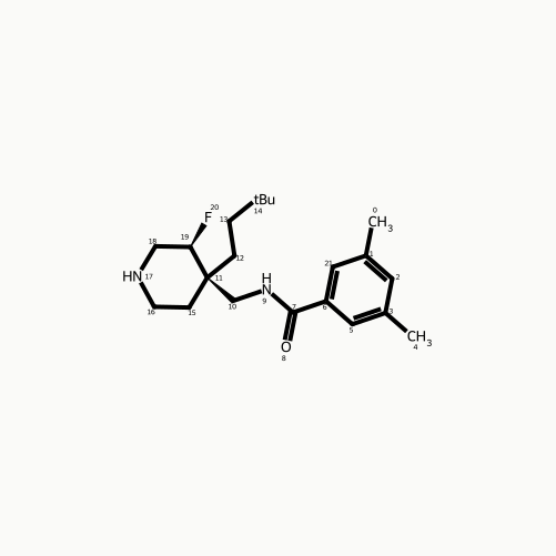 Cc1cc(C)cc(C(=O)NC[C@@]2(CCC(C)(C)C)CCNC[C@H]2F)c1